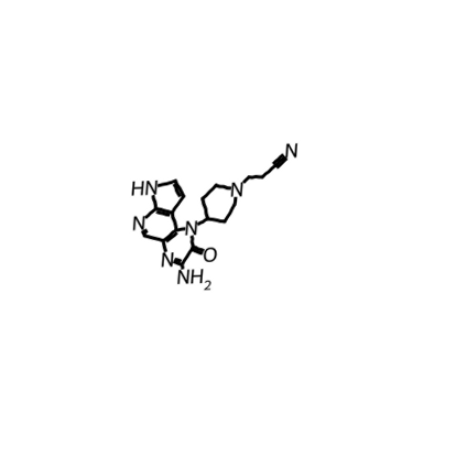 N#CCCN1CCC(n2c(=O)c(N)nc3cnc4[nH]ccc4c32)CC1